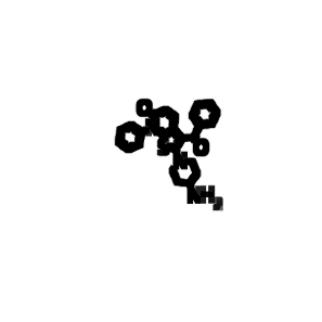 NC1CCN(c2sc3c(ccc(=O)n3-c3ccccc3)c2C(=O)c2ccccc2)CC1